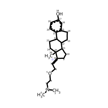 CN(C)CCOC/C=C1\CCC2C3CCc4cc(O)ccc4C3CCC12C